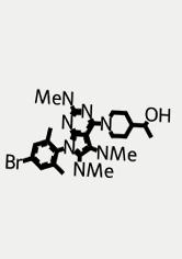 CNc1nc(N2CCC(C(C)O)CC2)c2c(NC)c(NC)n(-c3c(C)cc(Br)cc3C)c2n1